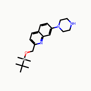 CC(C)(C)[Si](C)(C)OCc1ccc2ccc(N3CCNCC3)cc2n1